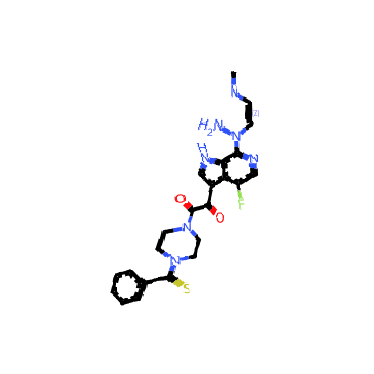 C=N/C=C\N(N)c1ncc(F)c2c(C(=O)C(=O)N3CCN(C(=S)c4ccccc4)CC3)c[nH]c12